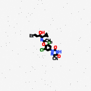 CC/C=C/C(O)=C(\N=C(/C)Oc1c(Cl)cc(-n2nc(C#N)c(=O)[nH]c2=O)cc1Cl)C1CC1